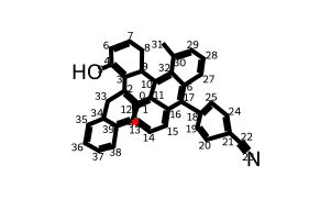 CC1=C(C2=C(O)C=CCC2c2c3ccccc3c(-c3ccc(C#N)cc3)c3cccc(C)c23)CC2C=CC=CC2=C1